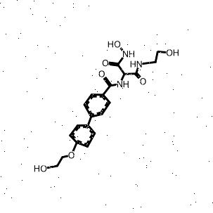 O=C(NC(C(=O)NO)C(=O)NCCO)c1ccc(-c2ccc(OCCO)cc2)cc1